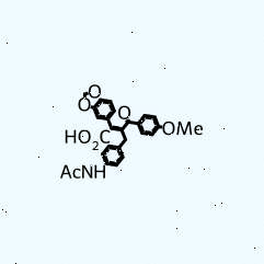 COc1ccc(C(=O)/C(Cc2ccc(NC(C)=O)cc2)=C(/C(=O)O)c2ccc3c(c2)OCO3)cc1